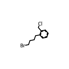 ClCc1ccccc1CCCCBr